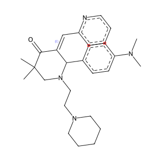 CN(C)c1ccc(C2/C(=C\c3ccccn3)C(=O)C(C)(C)CN2CCN2CCCCC2)cc1